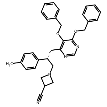 Cc1ccc([C@H](Cc2ncnc(OCc3ccccc3)c2OCc2ccccc2)CN2CC(C#N)C2)cc1